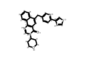 O=c1c2cc(Cc3ccc(-c4cscn4)nc3)c3ccccc3c2ncn1C1CCOCC1